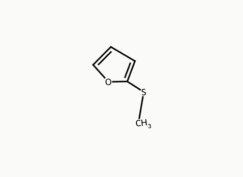 CSc1ccco1